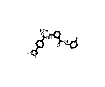 O=C(NCc1cccc(F)c1)c1cccc([C@@H](CO)NC(=O)c2ccc(-c3cn[nH]c3)cc2)c1